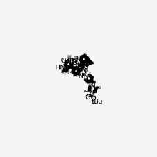 C[C@@H]1CN(CC2CCN(c3nc(C(COP(=O)(O)O)(OC4CC4)c4ccccc4)c4cc(-c5cn(C)c(=O)c6[nH]ccc56)ccc4n3)CC2)[C@@H](C)CN1C(=O)OC(C)(C)C